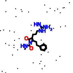 CNC(=O)N1C(=O)C(CCCNC(=N)N)=C1CCc1ccccc1